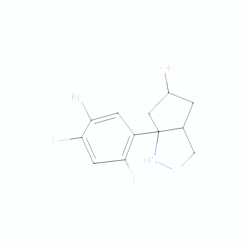 OC1CC2CONC2(c2cc(Br)c(F)cc2F)C1